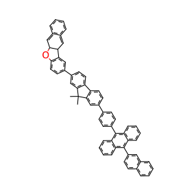 CC1(C)c2cc(-c3ccc(-c4c5ccccc5c(-c5ccc6ccccc6c5)c5ccccc45)cc3)ccc2-c2ccc(-c3ccc4c(c3)C3C=c5ccccc5=CC3O4)cc21